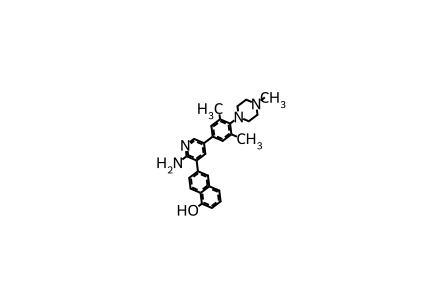 Cc1cc(-c2cnc(N)c(-c3ccc4c(O)cccc4c3)c2)cc(C)c1N1CCN(C)CC1